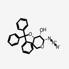 [N-]=[N+]=N[C@@H]1OCC[C@H](OC(c2ccccc2)(c2ccccc2)c2ccccc2)[C@@H]1O